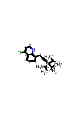 CC(C)[Si](C#CCc1cccc2c(Cl)ccnc12)(C(C)C)C(C)C